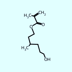 C=C(C)C(=O)OCCC(C)CCCO